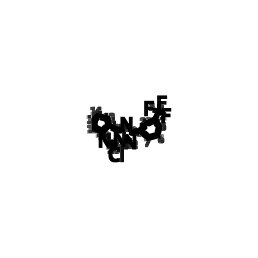 FC(F)(F)c1cccc(-c2nc3c4ccccc4nc(Cl)n3n2)c1